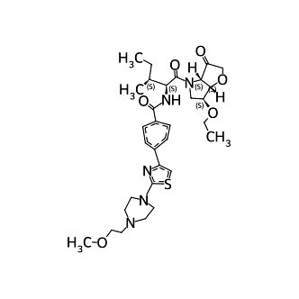 CCO[C@H]1CN(C(=O)[C@@H](NC(=O)c2ccc(-c3csc(N4CCN(CCOC)CC4)n3)cc2)[C@@H](C)CC)[C@@H]2C(=O)CO[C@H]12